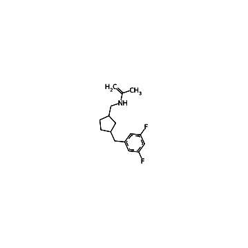 C=C(C)NCC1CCC(Cc2cc(F)cc(F)c2)C1